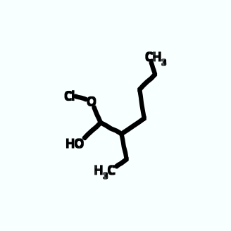 CCCCC(CC)C(O)OCl